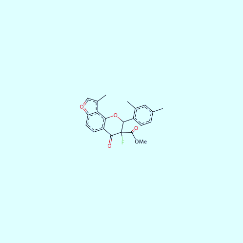 COC(=O)C1(F)C(=O)c2ccc3occ(C)c3c2OC1c1ccc(C)cc1C